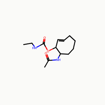 CCNC(=O)OC1/C=C/CCCCC1NC(C)=O